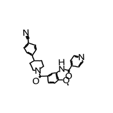 COc1ccc(C(=O)N2CCC(c3ccc(C#N)cc3)CC2)cc1NC(=O)c1ccncc1